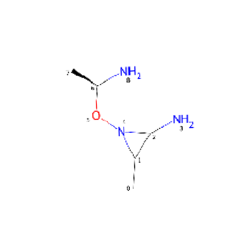 CC1C(N)N1O[C@@H](C)N